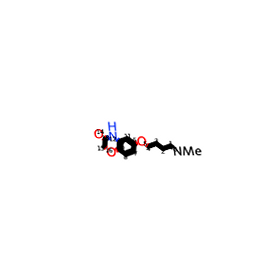 CNCCCCOc1ccc2c(c1)NC(=O)CO2